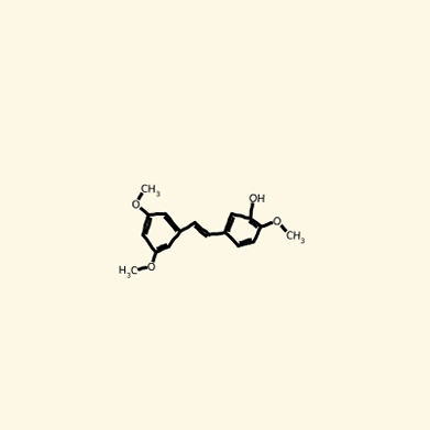 COc1cc(C=Cc2ccc(OC)c(O)c2)cc(OC)c1